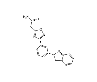 NC(=O)Cc1nc(-c2cccc(C3CN4N=CC=CC4=N3)c2)no1